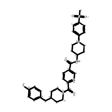 CS(=O)(=O)c1ccc(N2CCC(NC(=O)c3ccc(C(=O)N4CCC(Cc5ccc(F)cc5)CC4)nc3)CC2)cc1